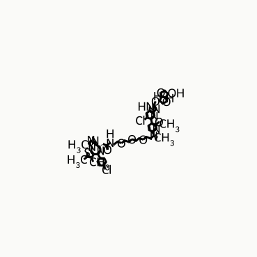 COc1nc(N(C)CCOCCOCCOCCNC(=O)C[C@@H]2N=C(c3ccc(Cl)cc3)c3c(sc(C)c3C)-n3c(C)nnc32)ccc1-c1nc2nc(O[C@@H]3CO[C@H]4[C@@H]3OC[C@H]4O)[nH]c2cc1Cl